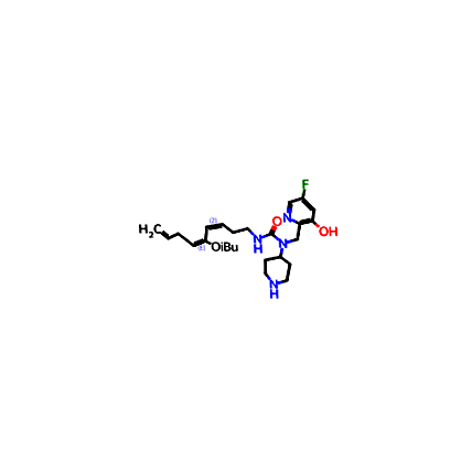 C=CC/C=C(\C=C/CCNC(=O)N(Cc1ncc(F)cc1O)C1CCNCC1)OCC(C)C